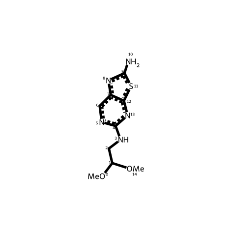 COC(CNc1ncc2nc(N)sc2n1)OC